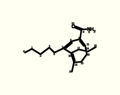 CCCCCC1=C/C(C(N)=O)=C\CC\C(C)=C\1CCC